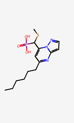 CCCCCCc1cc(C(SC)P(=O)(O)O)n2nccc2n1